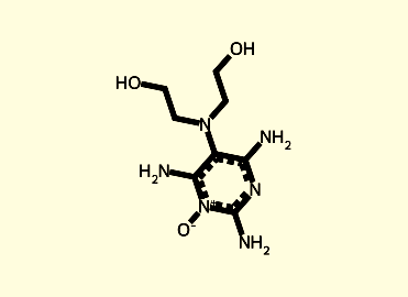 Nc1nc(N)[n+]([O-])c(N)c1N(CCO)CCO